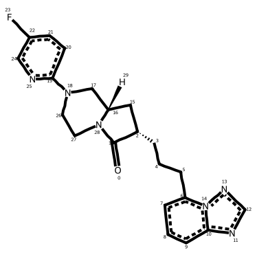 O=C1[C@@H](CCCc2cccc3ncnn23)C[C@H]2CN(c3ccc(F)cn3)CCN12